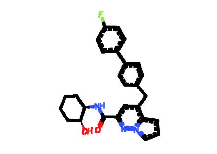 O=C(N[C@@H]1CCCC[C@H]1O)c1cc(Cc2ccc(-c3ccc(F)cc3)cc2)c2cccn2n1